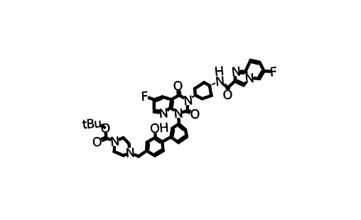 CC(C)(C)OC(=O)N1CCN(Cc2ccc(-c3cccc(-n4c(=O)n([C@H]5CC[C@@H](NC(=O)c6cn7cc(F)ccc7n6)CC5)c(=O)c5cc(F)cnc54)c3)c(O)c2)CC1